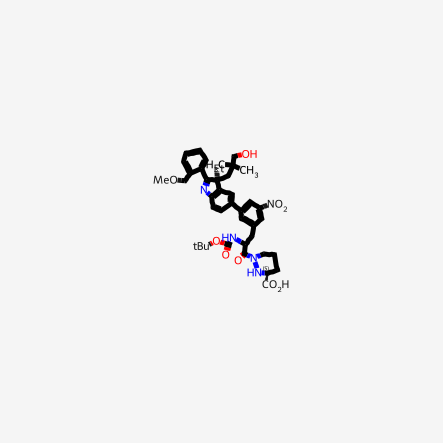 CCC1(CC(C)(C)CO)C(c2ccccc2COC)=Nc2ccc(-c3cc(CC(NC(=O)OC(C)(C)C)C(=O)N4CCC[C@@H](C(=O)O)N4)cc([N+](=O)[O-])c3)cc21